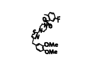 COc1ccc(Cc2csc(N3CCN(S(=O)(=O)c4cc(F)ccc4C)CC3)n2)cc1OC